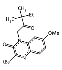 CCC(C)(C)C(=O)Cn1c(=O)c(C(C)(C)C)nc2ccc(OC)cc21